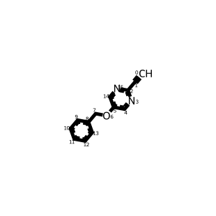 C#Cc1ncc(OCc2ccccc2)cn1